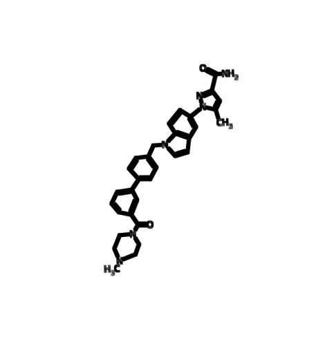 Cc1cc(C(N)=O)nn1-c1ccc2c(ccn2Cc2ccc(-c3cccc(C(=O)N4CCN(C)CC4)c3)cc2)c1